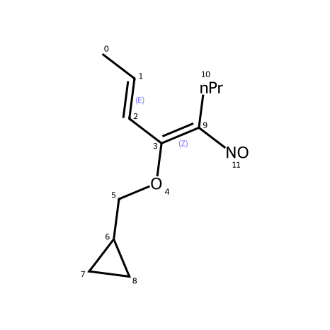 C/C=C/C(OCC1CC1)=C(\CCC)N=O